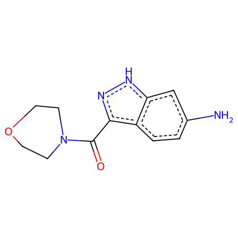 Nc1ccc2c(C(=O)N3CCOCC3)n[nH]c2c1